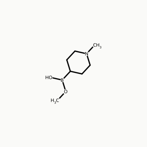 COB(O)C1CCN(C)CC1